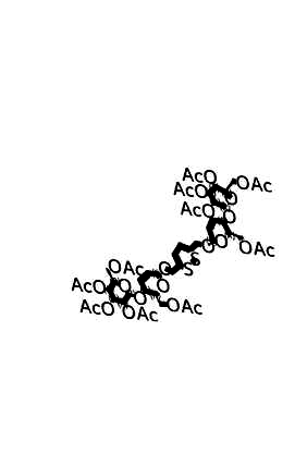 CC(=O)OC[C@H]1O[C@@H](O[C@H]2C=C[C@@H](OCC3=CC=C(CO[C@@H]4C=C[C@H](O[C@@H]5O[C@H](COC(C)=O)[C@H](OC(C)=O)[C@H](OC(C)=O)[C@H]5OC(C)=O)[C@@H](COC(C)=O)O4)SS3)O[C@@H]2COC(C)=O)[C@H](OC(C)=O)[C@@H](OC(C)=O)[C@H]1OC(C)=O